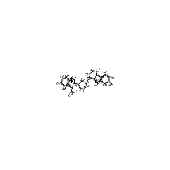 CC(C)n1c(-c2cccc(-c3cccc4c3sc3ccccc34)c2)nc2ccccc21